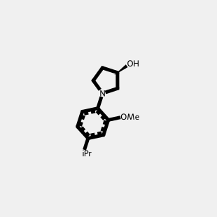 COc1cc(C(C)C)ccc1N1CC[C@@H](O)C1